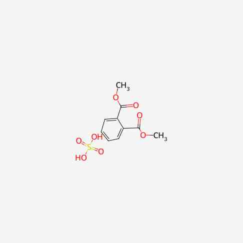 COC(=O)c1ccccc1C(=O)OC.O=S(=O)(O)O